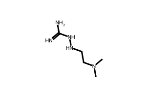 CN(C)CCNNC(=N)N